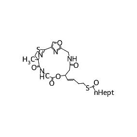 CCCCCCCC(=O)SCC/C=C/C1CC(=O)NCc2nc(co2)C2=NC(C)(CS2)C(=O)NCC(=O)O1